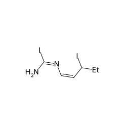 CCC(I)/C=C\N=C(/N)I